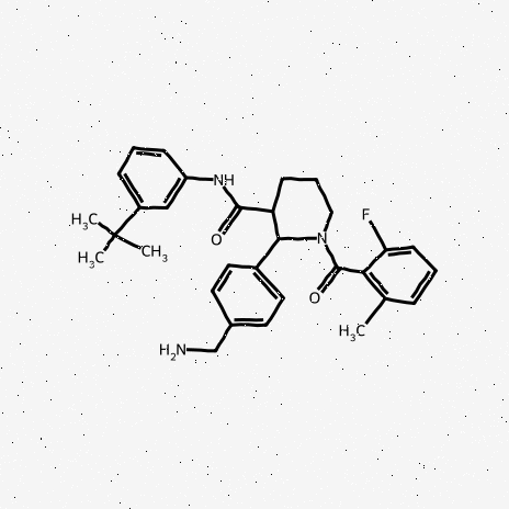 Cc1cccc(F)c1C(=O)N1CCCC(C(=O)Nc2cccc(C(C)(C)C)c2)C1c1ccc(CN)cc1